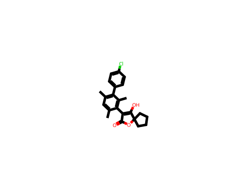 Cc1cc(C)c(-c2ccc(Cl)cc2)c(C)c1C1=C(O)C2(CCCC2)OC1=O